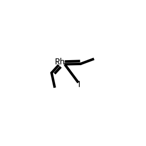 C/[CH]=[Rh](\[I])=[CH]/C